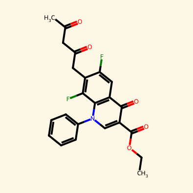 CCOC(=O)c1cn(-c2ccccc2)c2c(F)c(CC(=O)CC(C)=O)c(F)cc2c1=O